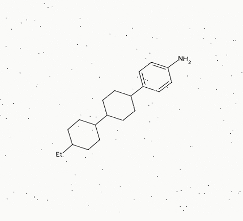 CCC1CCC(C2CCC(c3ccc(N)cc3)CC2)CC1